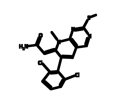 CSc1ncc2c(n1)N(C)C(=CC(N)=O)C(c1c(Cl)cccc1Cl)=C2